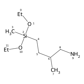 CCO[Si](C)(CCC(C)CN)OCC